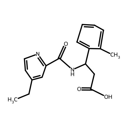 CCc1ccnc(C(=O)NC(CC(=O)O)c2ccccc2C)c1